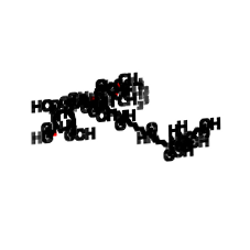 CC(C)(C)[Si](F)(c1ccc(C(=O)NC[C@@H](NC(=O)CC[C@H](C(=O)O)N2CCN(CC(=O)O)CCN(CC(=O)O)CCN(CC(=O)O)CC2)C(=O)N[C@@H](CCCCNC(=O)CCCCCCC(=O)NCCCC[C@H](NC(=O)N[C@@H](CCCC(=O)O)C(=O)O)C(=O)O)C(=O)O)cc1)C(C)(C)C